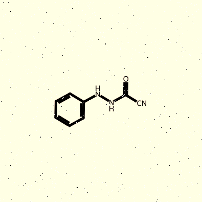 N#CC(=O)NNc1ccccc1